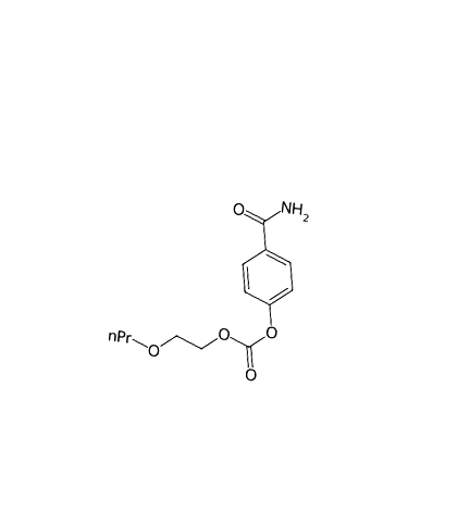 CCCOCCOC(=O)Oc1ccc(C(N)=O)cc1